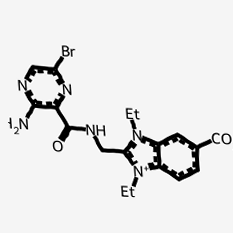 CCn1c(CNC(=O)c2nc(Br)cnc2N)[n+](CC)c2ccc(C(=O)O)cc21